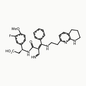 COc1ccc([C@H](CC(=O)O)NC(=O)/C(C=N)=C(/NCCc2ccc3c(n2)NCCC3)c2ccccc2)cc1F